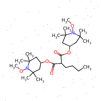 CCCCC(C(=O)OC1CC(C)(C)N(OC)C(C)(C)C1)C(=O)OC1CC(C)(C)N(OC)C(C)(C)C1